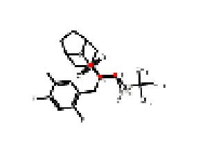 CC(C)(C)[S@+]([O-])N[C@@H](Cc1cc(F)c(F)cc1F)C1CC2CCC(C1)N2S(=O)(=O)CCN